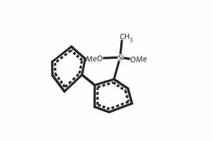 CO[Si](C)(OC)c1ccccc1-c1ccccc1